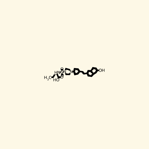 CCC[C@H](NS(=O)(=O)N1CCN(c2ccc(C=Cc3ccc4cc(O)ccc4c3)cc2)CC1)C(=O)O